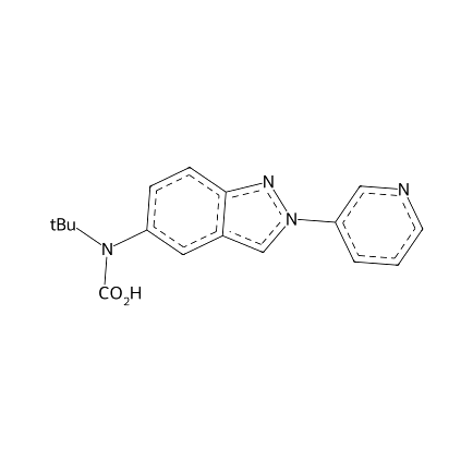 CC(C)(C)N(C(=O)O)c1ccc2nn(-c3cccnc3)cc2c1